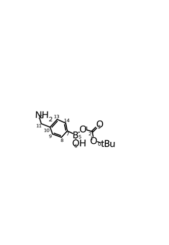 CC(C)(C)OC(=O)OB(O)c1ccc(CN)cc1